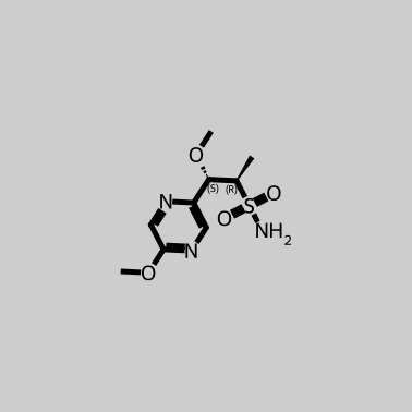 COc1cnc([C@H](OC)[C@@H](C)S(N)(=O)=O)cn1